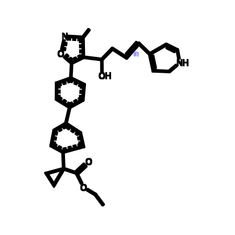 CCOC(=O)C1(c2ccc(-c3ccc(-c4onc(C)c4C(O)C/C=C/C4=CCNC=C4)cc3)cc2)CC1